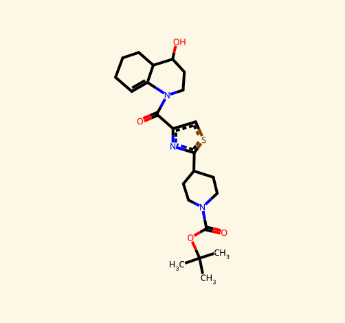 CC(C)(C)OC(=O)N1CCC(c2nc(C(=O)N3CCC(O)C4CCCC=C43)cs2)CC1